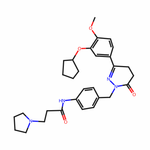 COc1ccc(C2=NN(Cc3ccc(NC(=O)CCN4CCCC4)cc3)C(=O)CC2)cc1OC1CCCC1